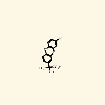 CC(O)(C(=O)O)c1ccc2c(c1)Sc1cc(Br)ccc1O2